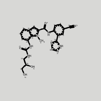 Cn1c(C(=O)Nc2ccc(C#N)cc2-c2nnn[nH]2)cc2cccc(NC(=O)NCC(O)CO)c21